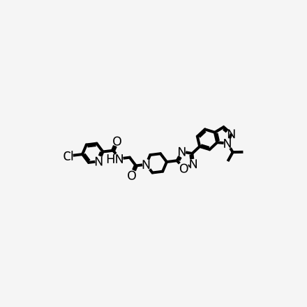 CC(C)n1ncc2ccc(-c3noc(C4CCN(C(=O)CNC(=O)c5ccc(Cl)cn5)CC4)n3)cc21